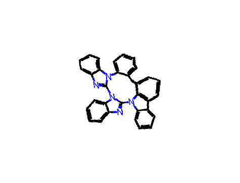 c1ccc2c(c1)nc1n2c2ccccc2c2cccc3c4ccccc4n(c23)c2nc3ccccc3n12